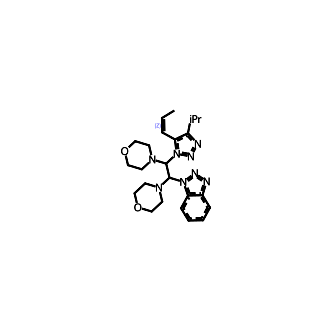 C/C=C\c1c(C(C)C)nnn1C(C(N1CCOCC1)n1nnc2ccccc21)N1CCOCC1